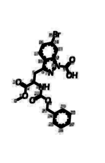 COC(=O)C(Cc1nn(C(=O)O)c2cc(Br)ccc12)NC(=O)OCc1ccccc1